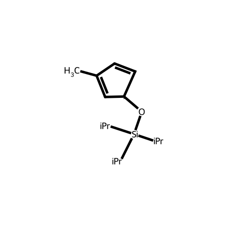 CC1=C[C](O[Si](C(C)C)(C(C)C)C(C)C)C=C1